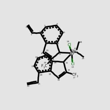 C=Cc1cccc2c1C=C(C(F)(F)F)[CH]2[Zr]([Cl])([Cl])([CH]1C(C(F)(F)F)=Cc2c(C=C)cccc21)[SiH](C)C